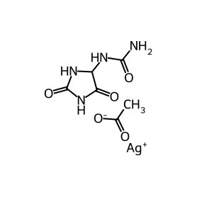 CC(=O)[O-].NC(=O)NC1NC(=O)NC1=O.[Ag+]